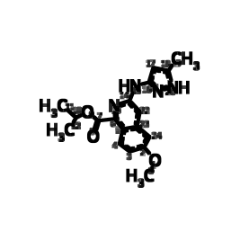 COc1ccc2c(C(=O)OC(C)C)nc(Nc3cc(C)[nH]n3)cc2c1